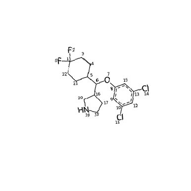 FC1(F)CCC(C(Oc2cc(Cl)cc(Cl)c2)C2CCNC2)CC1